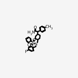 Cc1ccc(C(C(N)=O)C2CCC(CN(Cc3ccc(F)cc3)S(=O)(=O)c3ccccc3C(F)(F)F)CC2)cc1